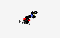 CC1(C)c2ccccc2C2(c3ccccc3-c3c(-c4ccc(N(c5ccccc5)c5cccc6c5sc5ccccc56)cc4)cccc32)c2ccccc21